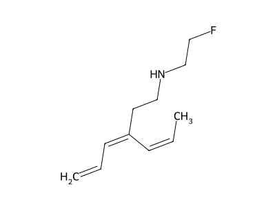 C=C/C=C(\C=C/C)CCNCCF